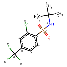 CC(C)(C)NS(=O)(=O)c1ccc(C(F)(F)F)cc1Br